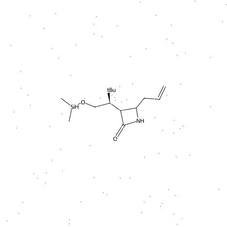 C=CCC1NC(=O)C1[C@@H](CO[SiH](C)C)C(C)(C)C